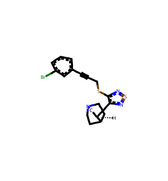 Brc1cccc(C#CCSc2nsnc2[C@@H]2CN3CCC2CC3)c1